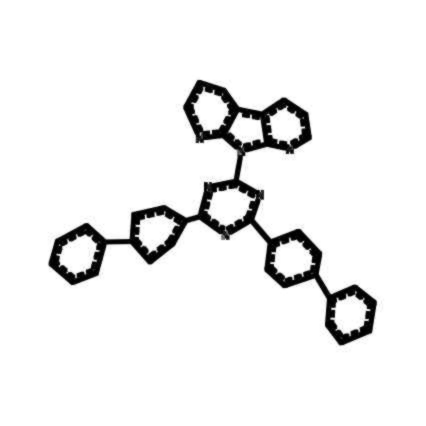 c1ccc(-c2ccc(-c3nc(-c4ccc(-c5ccccc5)cc4)nc(-n4c5ncccc5c5cccnc54)n3)cc2)cc1